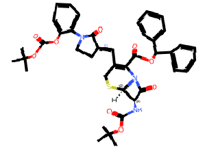 CC(C)(C)OC(=O)N[C@@H]1C(=O)N2C(C(=O)OC(c3ccccc3)c3ccccc3)=C(/C=C3\CCN(c4ccccc4OC(=O)OC(C)(C)C)C3=O)CS[C@H]12